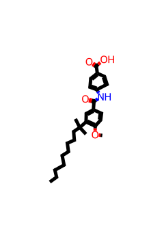 CCCCCCCCCC(C)(C)c1cc(C(=O)Nc2ccc(C(=O)O)cc2)ccc1OC